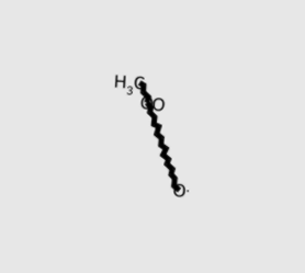 CCCCOC(=O)CCCCCCCCCCCCCCC[O]